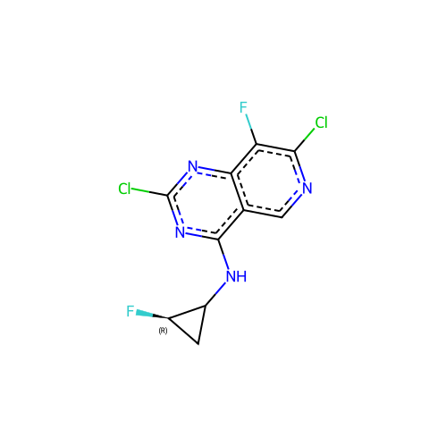 Fc1c(Cl)ncc2c(NC3C[C@H]3F)nc(Cl)nc12